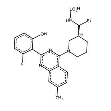 CCC(NC(=O)O)[C@H]1CCCN(c2nc(-c3c(O)cccc3F)nc3cc(C)ccc23)C1